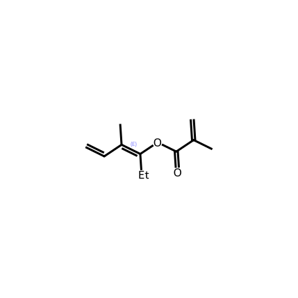 C=C/C(C)=C(\CC)OC(=O)C(=C)C